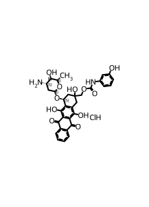 C[C@H]1O[C@@H](O[C@H]2CC(O)(COC(=O)Nc3cccc(O)c3)Cc3c(O)c4c(c(O)c32)C(=O)c2ccccc2C4=O)C[C@H](N)[C@H]1O.Cl